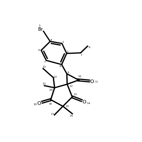 CCc1cc(Br)ccc1C1C(=O)C12C(=O)C(C)(C)C(=O)C2(C)CC